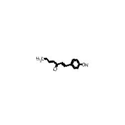 C=CC=CC(=O)C=Cc1ccc(O)cc1